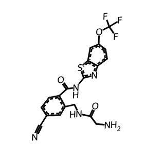 N#Cc1ccc(C(=O)Nc2nc3ccc(OC(F)(F)F)cc3s2)c(CNC(=O)CN)c1